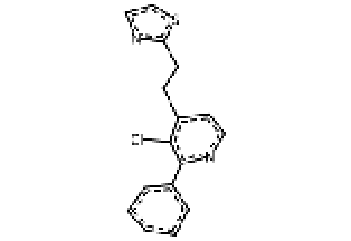 Clc1c(CCc2nccs2)ccnc1-c1ccccc1